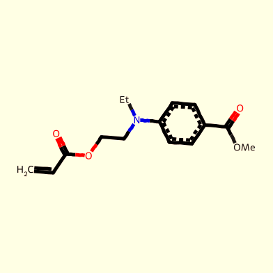 C=CC(=O)OCCN(CC)c1ccc(C(=O)OC)cc1